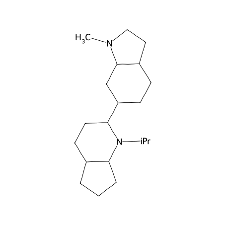 CC(C)N1C2CCCC2CCC1C1CCC2CCN(C)C2C1